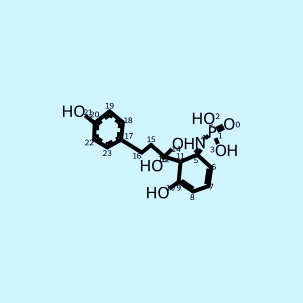 O=P(O)(O)N=C1C=CC=C(O)C1C(O)(O)CCc1ccc(O)cc1